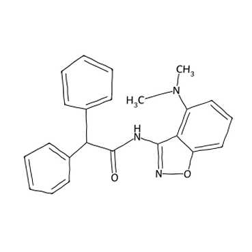 CN(C)c1cccc2onc(NC(=O)C(c3ccccc3)c3ccccc3)c12